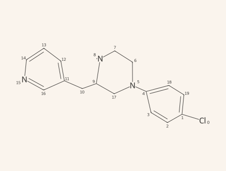 Clc1ccc(N2CC[N]C(Cc3cccnc3)C2)cc1